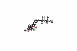 Cc1ccc([C@@]23OC[C@@](C(C)(C)O)(C[C@H](O)[C@H]2O)O3)cc1Cc1ccc(CCCC(=O)NCCC(=O)NCCN(C)C)cc1